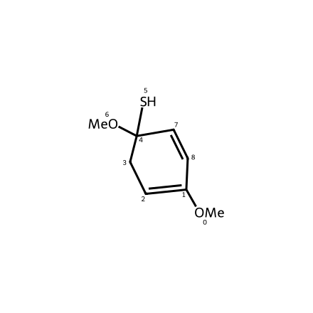 COC1=CCC(S)(OC)C=C1